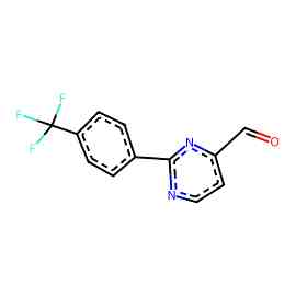 O=Cc1ccnc(-c2ccc(C(F)(F)F)cc2)n1